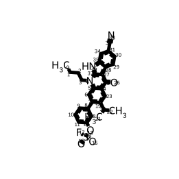 CCCCn1c2cc(-c3cccc(OS(=O)(=O)F)c3)c(C(C)C)cc2c(=O)c2c3ccc(C#N)cc3[nH]c21